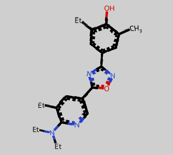 CCc1cc(-c2nc(-c3cc(C)c(O)c(CC)c3)no2)cnc1N(CC)CC